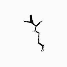 C=C(C)C(=O)OCC=CCl